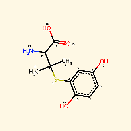 CC(C)(Sc1cc(O)ccc1O)C(N)C(=O)O